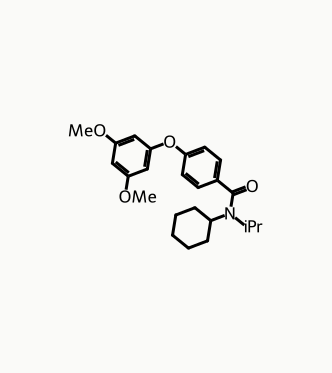 COc1cc(OC)cc(Oc2ccc(C(=O)N(C(C)C)C3CCCCC3)cc2)c1